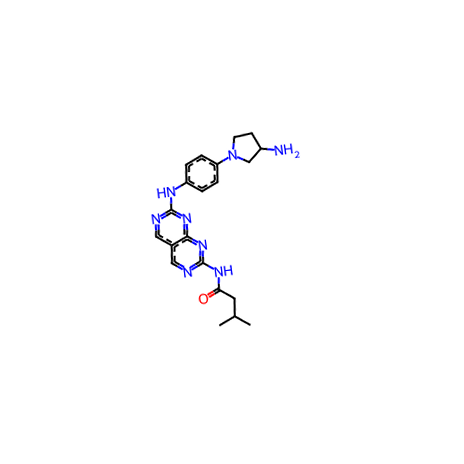 CC(C)CC(=O)Nc1ncc2cnc(Nc3ccc(N4CCC(N)C4)cc3)nc2n1